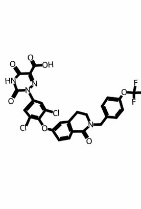 O=C(O)c1nn(-c2cc(Cl)c(Oc3ccc4c(c3)CCN(Cc3ccc(OC(F)(F)F)cc3)C4=O)c(Cl)c2)c(=O)[nH]c1=O